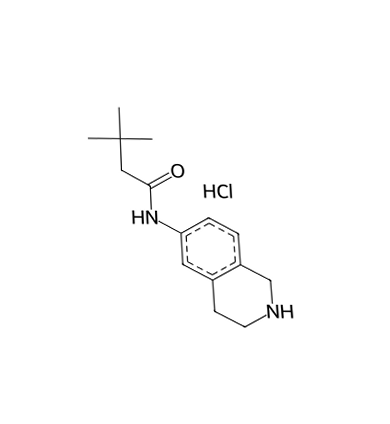 CC(C)(C)CC(=O)Nc1ccc2c(c1)CCNC2.Cl